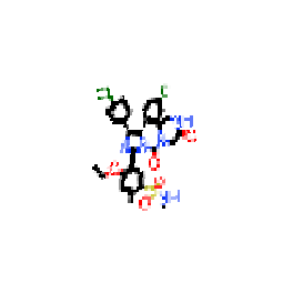 CCOc1cc(C)c(S(=O)(=O)NC)cc1C1=N[C@@H](c2ccc(Cl)cc2)[C@@H](c2ccc(Cl)cc2)N1C(=O)N1CCNC(=O)C1